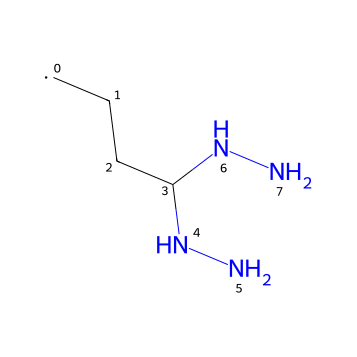 [CH2]CCC(NN)NN